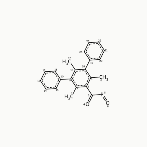 Cc1c(C(=O)P=O)c(C)c(-c2ccccc2)c(C)c1-c1ccccc1